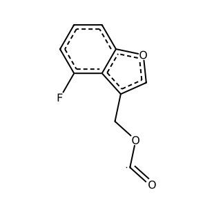 O=[C]OCc1coc2cccc(F)c12